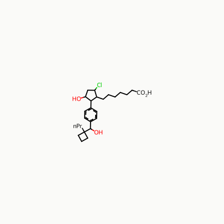 CCCC1(C(O)c2ccc(C3C(O)CC(Cl)C3CCCCCCC(=O)O)cc2)CCC1